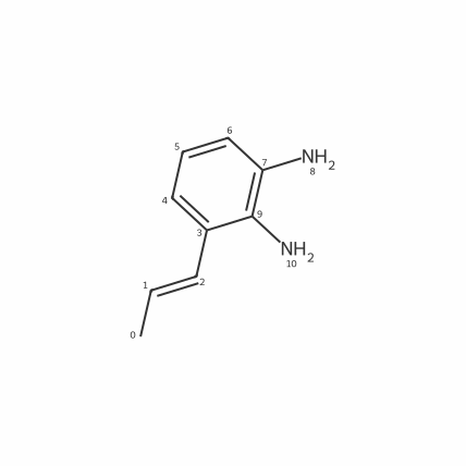 C/C=C/c1cccc(N)c1N